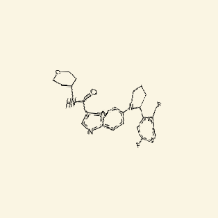 O=C(NC1CCOCC1)c1cnc2ccc(N3CCCC3c3cc(F)ccc3F)cn12